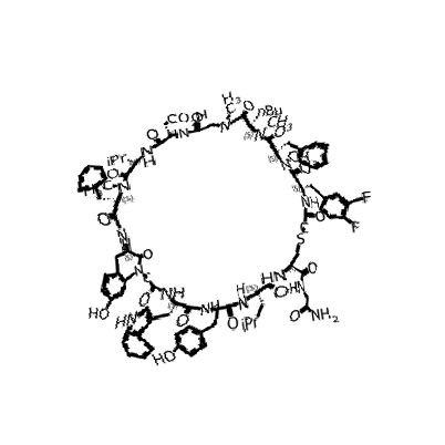 CCCC[C@H]1C(=O)N(C)CC(=O)N[C@@H](CC(=O)O)C(=O)N[C@@H](C(C)C)C(=O)N(C)[C@@H](Cc2ccccc2)C(=O)N[C@H]2Cc3ccc(O)cc3N(CC(=O)N[C@@H](Cc3c[nH]c4ccccc34)C(=O)NC(Cc3ccc(O)cc3)C(=O)N[C@@H](CC(C)C)C(=O)N[C@H](C(=O)NCC(N)=O)CSCC(=O)N[C@@H](Cc3ccc(F)c(F)c3)C(=O)N(C)[C@@H](Cc3ccccc3)C(=O)N1C)C2=O